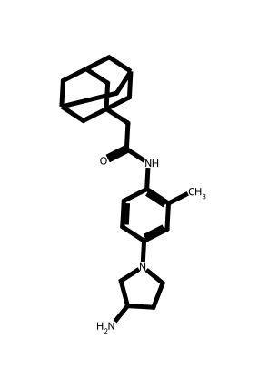 Cc1cc(N2CCC(N)C2)ccc1NC(=O)CC12CC3CC(CC(C3)C1)C2